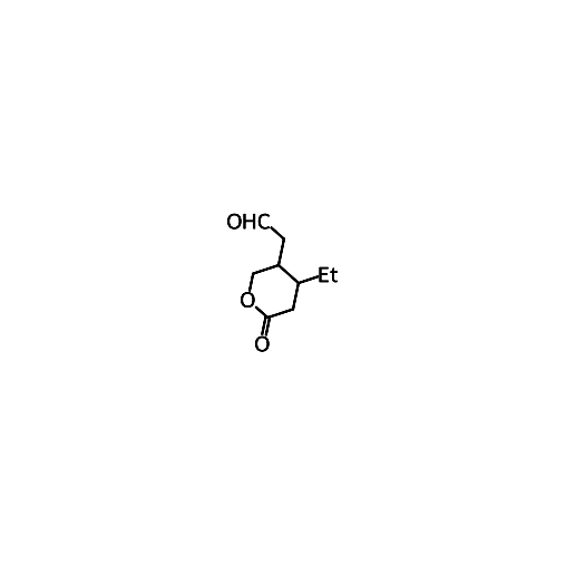 CCC1CC(=O)OCC1CC=O